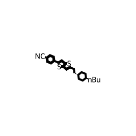 CCCC[C@H]1CC[C@H](CCc2cc3sc(-c4ccc(C#N)cc4)cc3s2)CC1